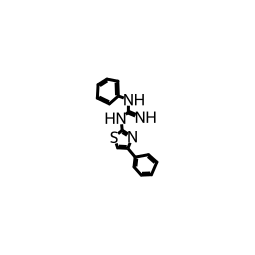 N=C(Nc1ccccc1)Nc1nc(-c2ccccc2)cs1